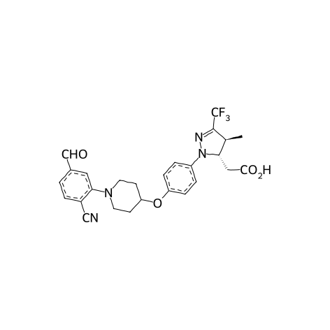 C[C@@H]1C(C(F)(F)F)=NN(c2ccc(OC3CCN(c4cc(C=O)ccc4C#N)CC3)cc2)[C@H]1CC(=O)O